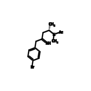 CC(=O)N(C)[C@@H](C)CC(=N)Cc1ccc(Br)cc1